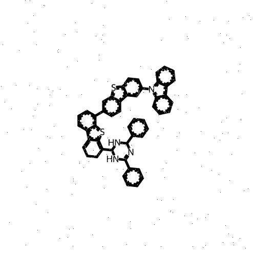 C1=c2c(sc3c(-c4ccc5c(c4)sc4ccc(-n6c7ccccc7c7ccccc76)cc45)cccc23)=C(C2NC(c3ccccc3)=NC(c3ccccc3)N2)CC1